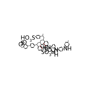 Cc1ccc(Nc2ccc(Nc3cccc(Nc4ccc(C(CC(C)c5ccc(S(=O)(=O)O)cc5)CC(CC(c5ccc(-c6ccc(C)c(S(C)(=O)=O)c6)cc5)c5ccc(S(=O)(=O)O)cc5)c5ccc(S(=O)(=O)O)cc5)cc4)c3)cc2)cc1